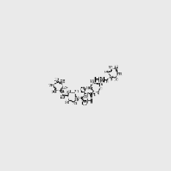 O=C(Nc1ccc(NCc2ccccc2)cc1)C(=O)N1CCC(Cc2ccccc2)CC1